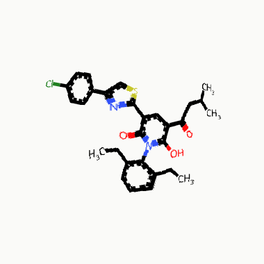 CCc1cccc(CC)c1-n1c(O)c(C(=O)CC(C)C)cc(-c2nc(-c3ccc(Cl)cc3)cs2)c1=O